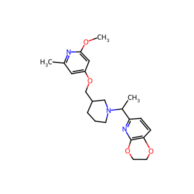 COc1cc(OCC2CCCN(C(C)c3ccc4c(n3)OCCO4)C2)cc(C)n1